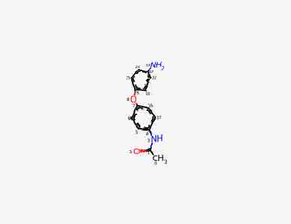 CC(=O)Nc1ccc(Oc2ccc(N)cc2)cc1